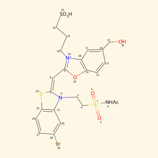 CC(=O)NS(=O)(=O)CCN1C(=Cc2oc3ccc(CO)cc3[n+]2CCCS(=O)(=O)O)Sc2ccc(Br)cc21